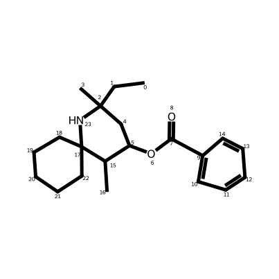 CCC1(C)CC(OC(=O)c2ccccc2)C(C)C2(CCCCC2)N1